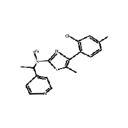 CCCN(c1nc(-c2ccc(C)cc2Cl)c(C)s1)C(C)c1ccncc1